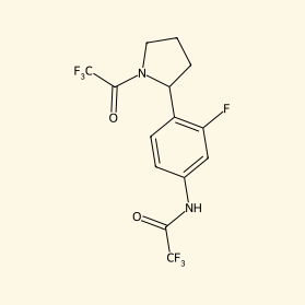 O=C(Nc1ccc(C2CCCN2C(=O)C(F)(F)F)c(F)c1)C(F)(F)F